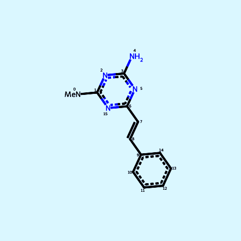 CNc1nc(N)nc(C=Cc2ccccc2)n1